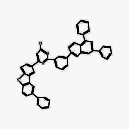 Clc1nc(-c2cccc(-c3ccc4c(-c5ccccc5)cc(-c5ccccc5)cc4c3)c2)nc(-c2ccc3sc4ccc(-c5ccccc5)cc4c3c2)n1